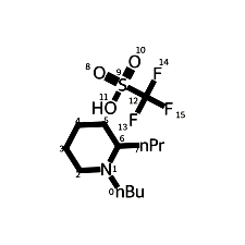 CCCCN1CCCCC1CCC.O=S(=O)(O)C(F)(F)F